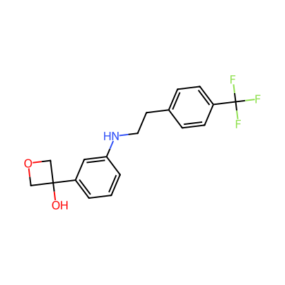 OC1(c2cccc(NCCc3ccc(C(F)(F)F)cc3)c2)COC1